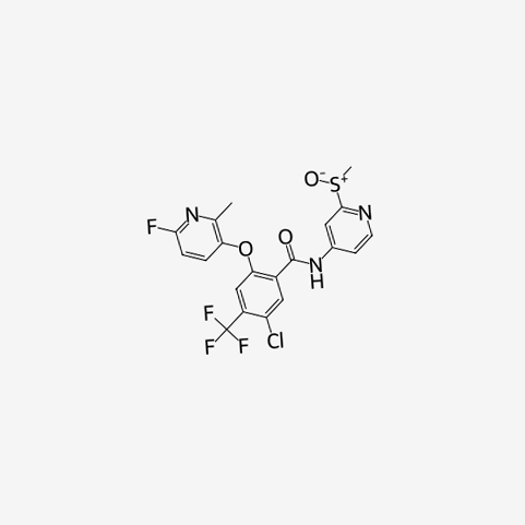 Cc1nc(F)ccc1Oc1cc(C(F)(F)F)c(Cl)cc1C(=O)Nc1ccnc([S+](C)[O-])c1